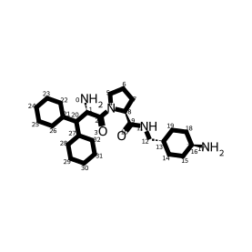 N[C@H](C(=O)N1CCC[C@H]1C(=O)NC[C@H]1CC[C@H](N)CC1)C(C1CCCCC1)C1CCCCC1